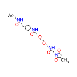 CC(=O)CCNC(=O)CCc1ccc(NC(=O)CCOCCOCCNC(=O)CCN2C(=O)CC(C)C2=O)cc1